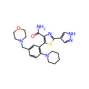 NC(=O)c1nc(-c2cn[nH]c2)sc1-c1cc(CN2CCOCC2)ccc1N1CCCCC1